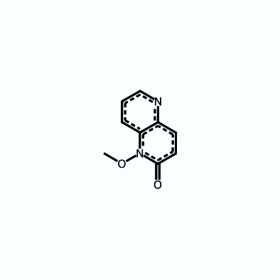 COn1c(=O)ccc2ncccc21